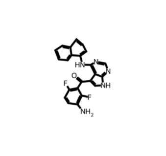 Nc1ccc(F)c(C(=O)c2c[nH]c3ncnc(Nc4cccc5ccccc45)c23)c1F